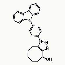 OC1CCCCCc2c1nnn2-c1ccc(-n2c3ccccc3c3ccccc32)cc1